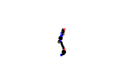 CCN(CCCCCCCCOc1ccc(CC#N)cc1)c1ccc(/N=N/c2nc3sc(C=O)cc3s2)cc1